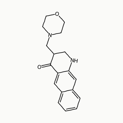 O=C1c2cc3ccccc3cc2NCC1CN1CCOCC1